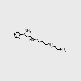 NCCCNCCCCNCCC(N)c1cccs1